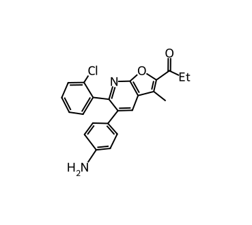 CCC(=O)c1oc2nc(-c3ccccc3Cl)c(-c3ccc(N)cc3)cc2c1C